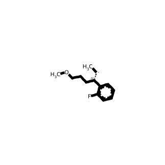 C[CH][C@@H](CCCOC)c1ccccc1F